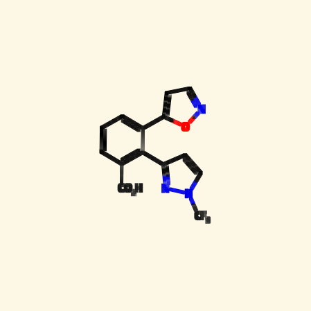 O=C(O)c1cccc(-c2ccno2)c1-c1ccn(C(F)(F)F)n1